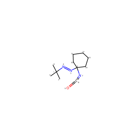 CC(C)(C)N=NC1(N=C=O)CCCCC1